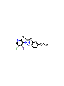 COc1ccc(CNc2c(C#N)ncc(F)c2I)c(OC)c1